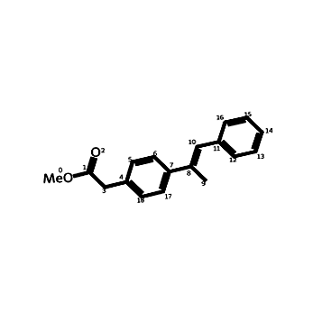 COC(=O)Cc1ccc(C(C)=Cc2ccccc2)cc1